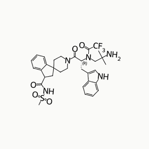 CC(C)(N)CN(C(=O)C(F)(F)F)[C@H](Cc1c[nH]c2ccccc12)C(=O)N1CCC2(CC1)CC(C(=O)NS(C)(=O)=O)c1ccccc12